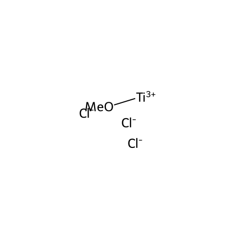 C[O][Ti+3].[Cl-].[Cl-].[Cl-]